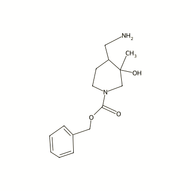 CC1(O)CN(C(=O)OCc2ccccc2)CCC1CN